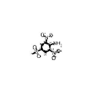 CS(=O)(=O)c1cc([N+](=O)[O-])c(N)c([N+](=O)[O-])c1